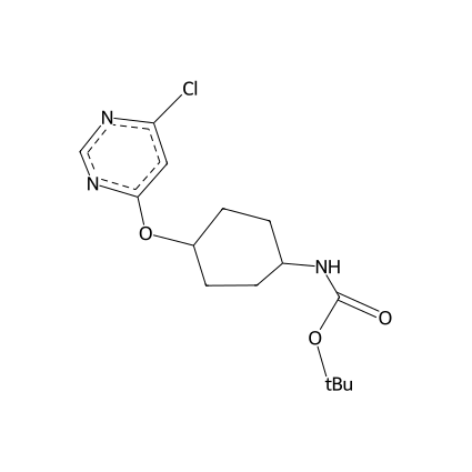 CC(C)(C)OC(=O)NC1CCC(Oc2cc(Cl)ncn2)CC1